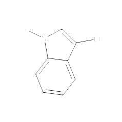 CCc1cn(CC)c2ccccc12